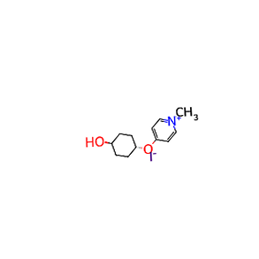 C[n+]1ccc(O[C@H]2CC[C@H](O)CC2)cc1.[I-]